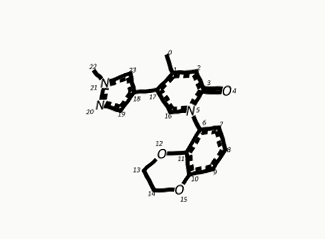 Cc1cc(=O)n(-c2cccc3c2OCCO3)cc1-c1cnn(C)c1